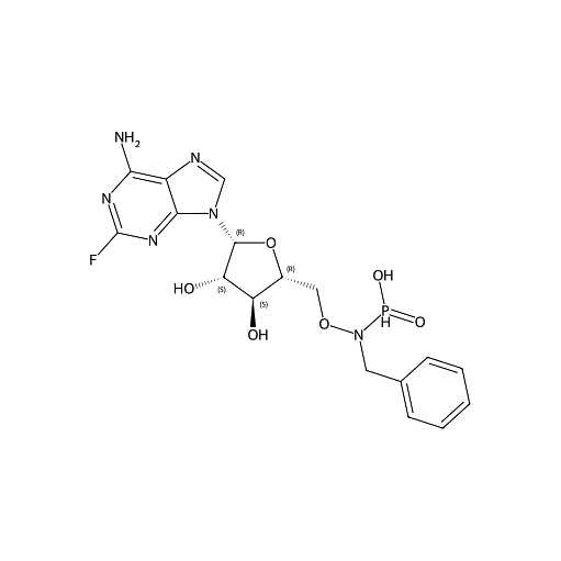 Nc1nc(F)nc2c1ncn2[C@@H]1O[C@H](CON(Cc2ccccc2)[PH](=O)O)[C@@H](O)[C@@H]1O